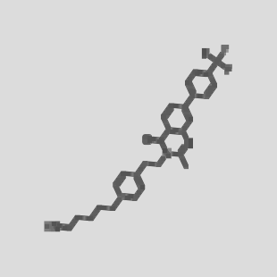 Cc1nc2cc(-c3ccc(C(F)(F)F)cc3)ccc2c(=O)n1CCc1ccc(CCCCC=N)cc1